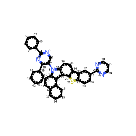 c1ccc(-c2ncc(-n3c4ccc5ccccc5c4c4c5sc6ccc(-c7ncccn7)cc6c5ccc43)c(-c3ccccc3)n2)cc1